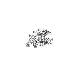 CC(NCC[C@H](N)C(=O)N[C@@H](CCNC(=O)OC(C)(C)C)C(=O)N[C@H](CC(C)C)C(=O)N[C@@H](CC(C)C)C(=O)N[C@@H](CCNC(=O)OC(C)(C)C)C(=O)N[C@@H](CCNC(=O)OC(C)(C)C)C(=O)N[C@H](C(=O)O)[C@@H](C)O)=C1C(=O)CC(C)(C)CC1=O